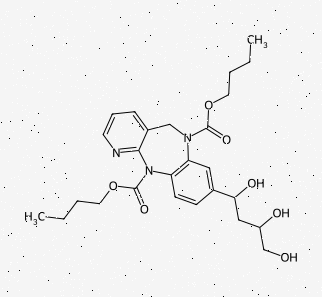 CCCCOC(=O)N1Cc2cccnc2N(C(=O)OCCCC)c2ccc(C(O)CC(O)CO)cc21